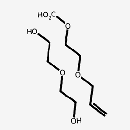 C=CCOCCOC(=O)O.OCCOCCO